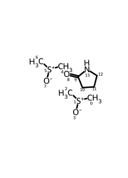 C[S+](C)[O-].C[S+](C)[O-].O=C1CCCN1